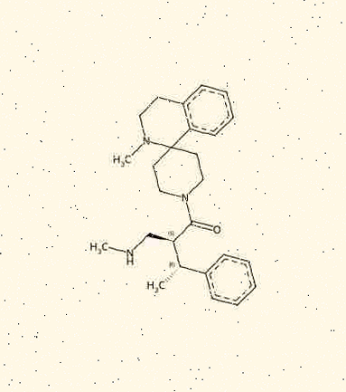 CNC[C@@H](C(=O)N1CCC2(CC1)c1ccccc1CCN2C)[C@@H](C)c1ccccc1